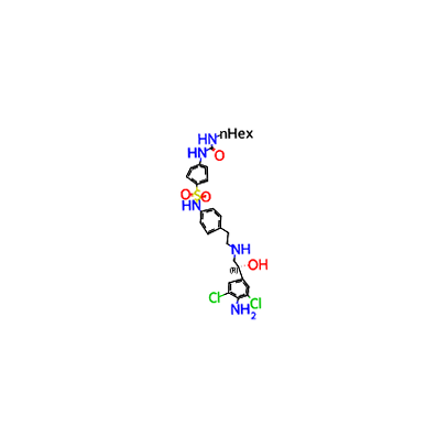 CCCCCCNC(=O)Nc1ccc(S(=O)(=O)Nc2ccc(CCNC[C@H](O)c3cc(Cl)c(N)c(Cl)c3)cc2)cc1